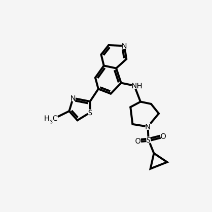 Cc1csc(-c2cc(NC3CCN(S(=O)(=O)C4CC4)CC3)c3cnccc3c2)n1